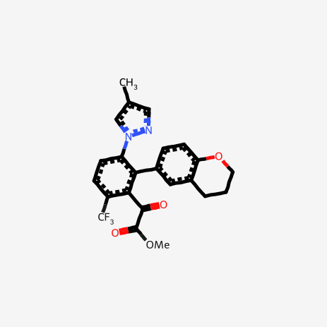 COC(=O)C(=O)c1c(C(F)(F)F)ccc(-n2cc(C)cn2)c1-c1ccc2c(c1)CCCO2